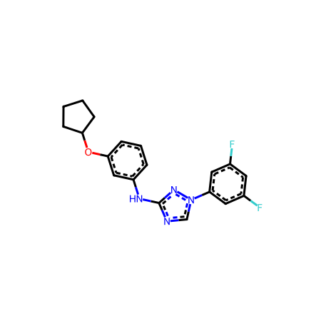 Fc1cc(F)cc(-n2cnc(Nc3cccc(OC4CCCC4)c3)n2)c1